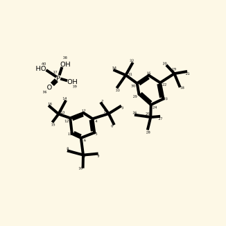 CC(C)(C)c1cc(C(C)(C)C)cc(C(C)(C)C)c1.CC(C)(C)c1cc(C(C)(C)C)cc(C(C)(C)C)c1.O=P(O)(O)O